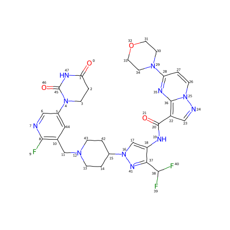 O=C1CCN(c2cnc(F)c(CN3CCC(n4cc(NC(=O)c5cnn6ccc(N7CCOCC7)nc56)c(C(F)F)n4)CC3)c2)C(=O)N1